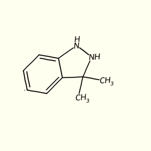 CC1(C)NNc2cc[c]cc21